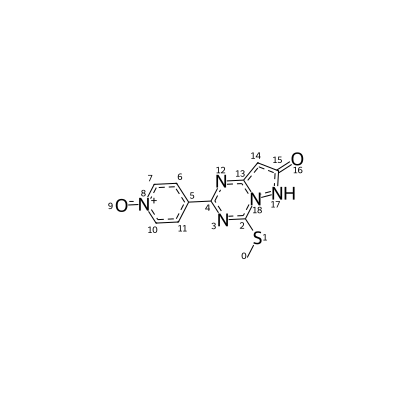 CSc1nc(-c2cc[n+]([O-])cc2)nc2cc(=O)[nH]n12